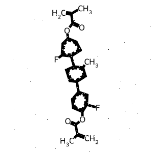 C=C(C)C(=O)Oc1ccc(-c2ccc(-c3ccc(OC(=O)C(=C)C)c(F)c3)cc2C)c(F)c1